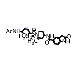 C=C(/C=C\C(=C)S(=O)(=O)N1CC[C@H](NC(=O)c2ccc3c(c2)CC(=O)N3)C[C@@H]1C)NC(C)=O